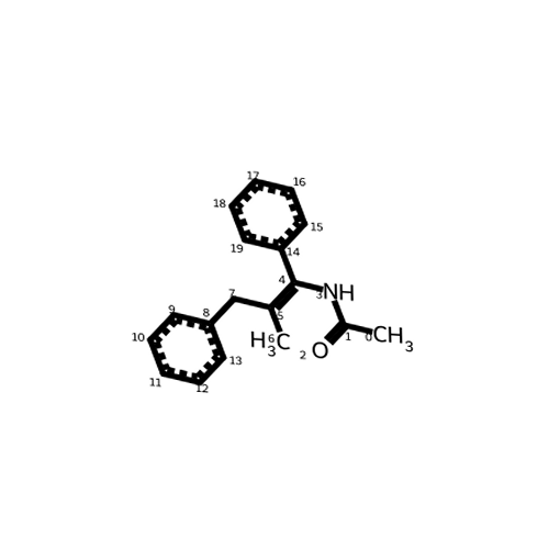 CC(=O)N/C(=C(\C)Cc1ccccc1)c1ccccc1